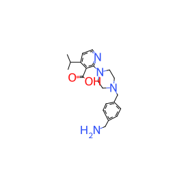 CC(C)c1ccnc(N2CCN(Cc3ccc(CN)cc3)CC2)c1C(=O)O